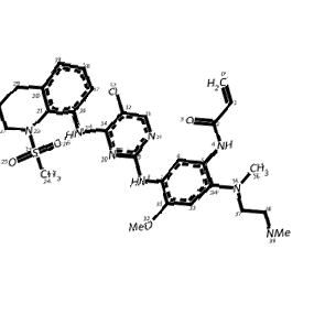 C=CC(=O)Nc1cc(Nc2ncc(Cl)c(Nc3cccc4c3N(S(C)(=O)=O)CCC4)n2)c(OC)cc1N(C)CCNC